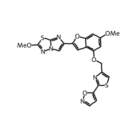 COc1cc(OCc2csc(-c3ccno3)n2)c2cc(-c3cn4nc(OC)sc4n3)oc2c1